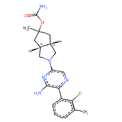 Cc1cccc(-c2ncc(N3C[C@@H]4CC(C)(OC(N)=O)C[C@@H]4C3)nc2N)c1Cl